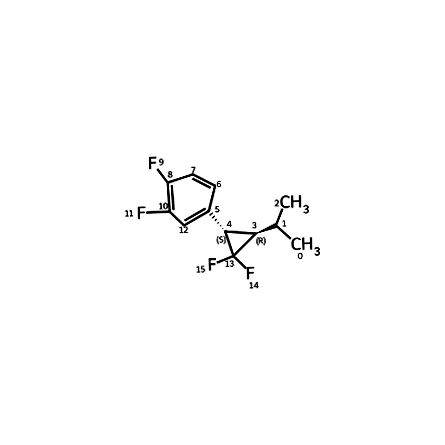 CC(C)[C@@H]1[C@@H](c2ccc(F)c(F)c2)C1(F)F